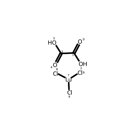 O=C(O)C(=O)O.[Cl][Lu]([Cl])[Cl]